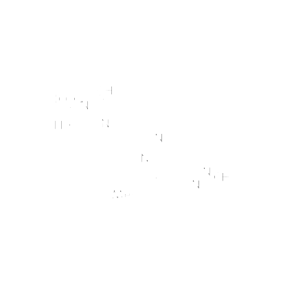 COCOc1cc2nn(C)cc2cc1-c1ncc2cc(N3C[C@@H](C)N(C(=O)O)[C@@H](C)C3)ccc2n1